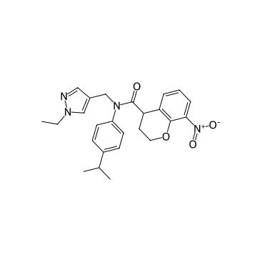 CCn1cc(CN(C(=O)C2CCOc3c2cccc3[N+](=O)[O-])c2ccc(C(C)C)cc2)cn1